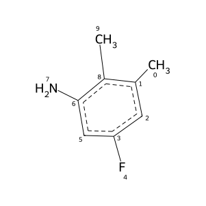 Cc1cc(F)cc(N)c1C